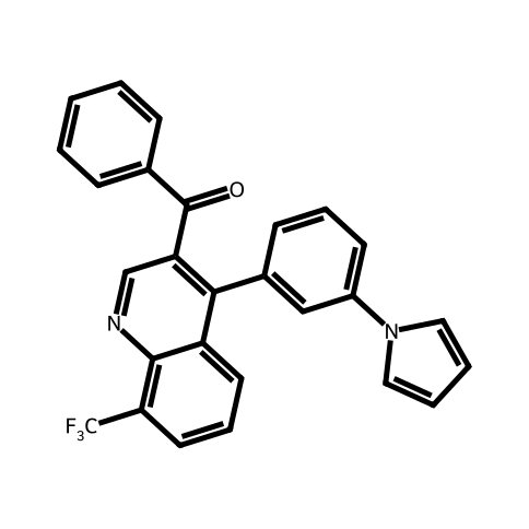 O=C(c1ccccc1)c1cnc2c(C(F)(F)F)cccc2c1-c1cccc(-n2cccc2)c1